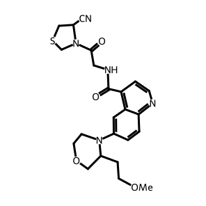 COCCC1COCCN1c1ccc2nccc(C(=O)NCC(=O)N3CSCC3C#N)c2c1